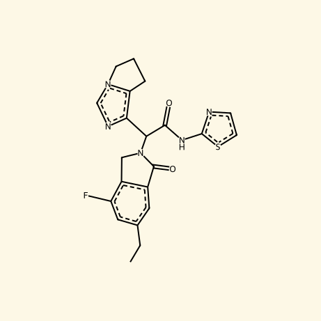 CCc1cc(F)c2c(c1)C(=O)N(C(C(=O)Nc1nccs1)c1ncn3c1CCC3)C2